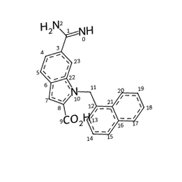 N=C(N)c1ccc2cc(C(=O)O)n(Cc3cccc4ccccc34)c2c1